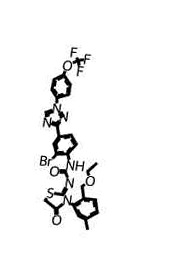 CCOCc1ccc(C)cc1N1C(=O)CS/C1=N\C(=O)Nc1ccc(-c2ncn(-c3ccc(OC(F)(F)F)cc3)n2)cc1Br